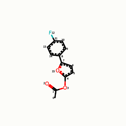 CC(=O)Oc1ccc(-c2ccc(F)cc2)o1